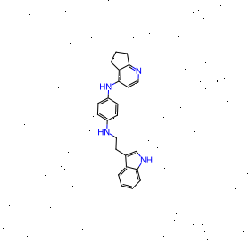 c1ccc2c(CCNc3ccc(Nc4ccnc5c4CCC5)cc3)c[nH]c2c1